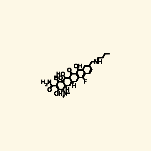 CCCCNCc1ccc2c(F)c3c(c(O)c2c1)C(=O)C1=C(O)[C@]2(O)C(=O)C(C(N)=O)=C(O)[C@@H](N(C)C)[C@@H]2C[C@@H]1C3